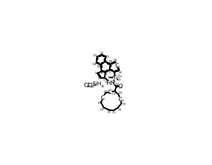 CC1C=Cc2c1c1[c]([Ti+2]([CH3])([CH3])[NH]C(=O)C3CCCCCCCCCCC3)cccc1c1ccccc21.[Cl-].[Cl-].[SiH4]